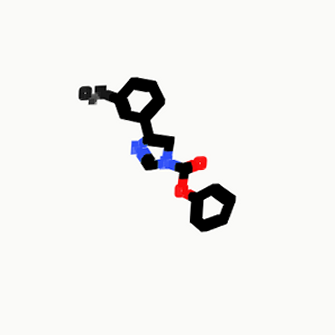 O=C(Oc1ccccc1)n1cnc(-c2cccc([N+](=O)[O-])c2)c1